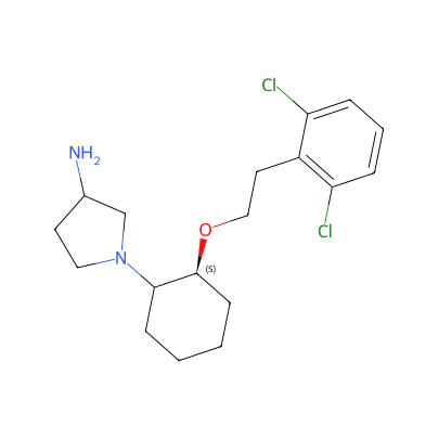 NC1CCN(C2CCCC[C@@H]2OCCc2c(Cl)cccc2Cl)C1